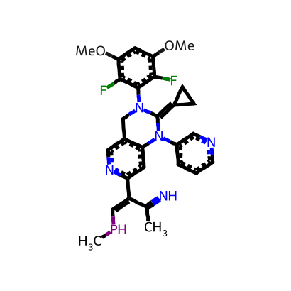 COc1cc(OC)c(F)c(N2Cc3cnc(/C(=C/PC)C(C)=N)cc3N(c3cccnc3)C2=C2CC2)c1F